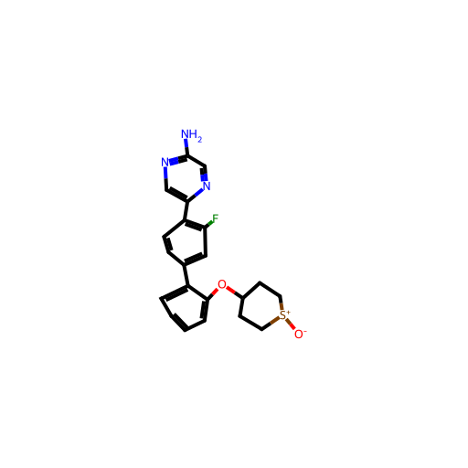 Nc1cnc(-c2ccc(-c3ccccc3OC3CC[S+]([O-])CC3)cc2F)cn1